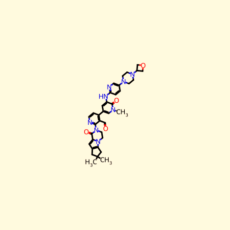 Cn1cc(-c2ccnc(N3CCn4c(cc5c4CC(C)(C)C5)C3=O)c2C=O)cc(Nc2ccc(N3CCN(C4COC4)CC3)cn2)c1=O